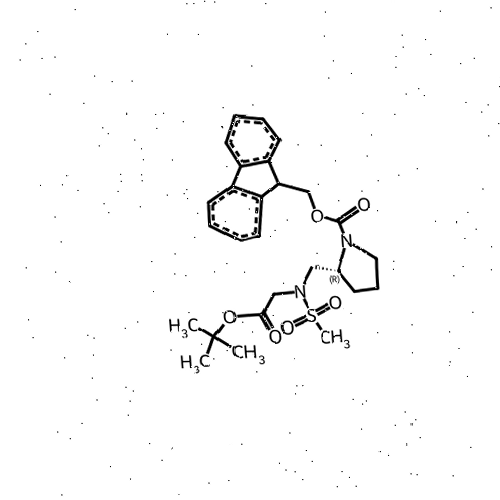 CC(C)(C)OC(=O)CN(C[C@H]1CCCN1C(=O)OCC1c2ccccc2-c2ccccc21)S(C)(=O)=O